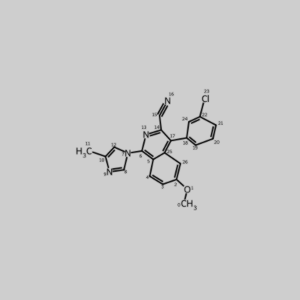 COc1ccc2c(-n3cnc(C)c3)nc(C#N)c(-c3cccc(Cl)c3)c2c1